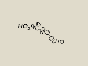 CC(C)C1CC(c2nc3cc(-c4ccc(C=O)cc4)ccc3o2)CCN1C(=O)O